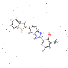 Cc1cc(-n2nc3ccc(-c4cc5ccccc5s4)cc3n2)c(O)c(C(C)(C)C)c1